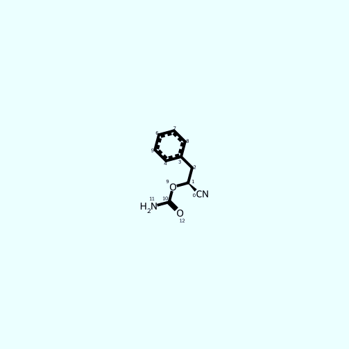 N#C[C@H](Cc1ccccc1)OC(N)=O